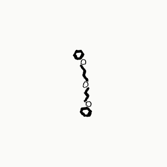 c1ccc(OCCCCOCCCCOc2ccccc2)cc1